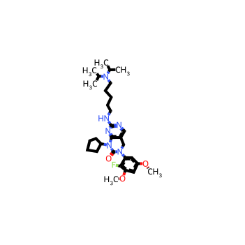 COc1cc(OC)c(F)c(N2Cc3cnc(NCCCCCN(C(C)C)C(C)C)nc3N(C3CCCC3)C2=O)c1